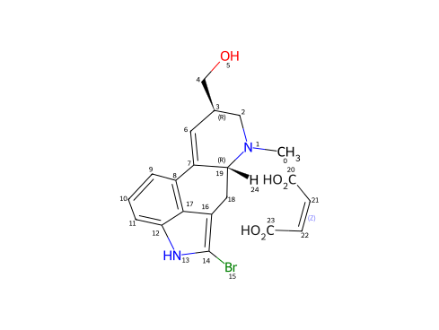 CN1C[C@H](CO)C=C2c3cccc4[nH]c(Br)c(c34)C[C@H]21.O=C(O)/C=C\C(=O)O